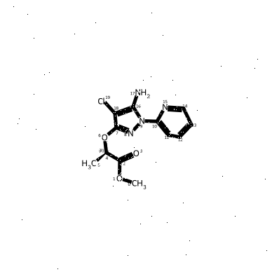 COC(=O)[C@@H](C)Oc1nn(-c2ccccn2)c(N)c1Cl